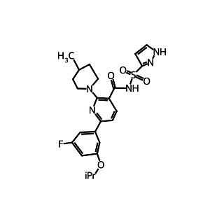 CC1CCN(c2nc(-c3cc(F)cc(OC(C)C)c3)ccc2C(=O)NS(=O)(=O)c2cc[nH]n2)CC1